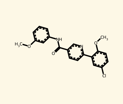 COc1cccc(NC(=O)c2ccc(-c3cc(Cl)ccc3OC)nc2)c1